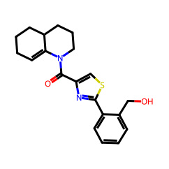 O=C(c1csc(-c2ccccc2CO)n1)N1CCCC2CCCC=C21